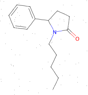 CCCCCN1C(=O)CCC1c1ccccc1